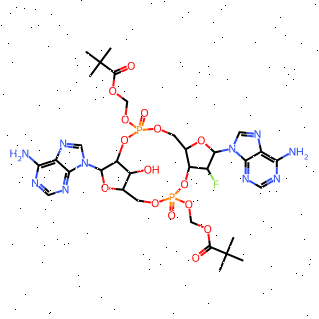 CC(C)(C)C(=O)OCOP1(=O)OCC2OC(n3cnc4c(N)ncnc43)C(OP(=O)(OCOC(=O)C(C)(C)C)OCC3OC(n4cnc5c(N)ncnc54)C(F)C3O1)C2O